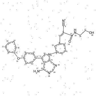 N#CC(=Cc1cccc(-n2cc(-c3ccc(Oc4ccccc4)cc3)c3c(N)ncnc32)c1)C(=O)NCCO